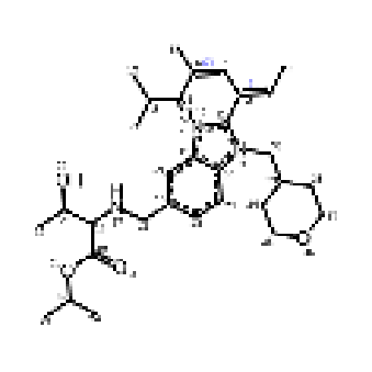 C/C=C(\C=C(\C)C(=O)C(C)C)c1nc2cc(CNC(C(=O)OC(C)C)C(C)O)ccc2n1CC1CCOCC1